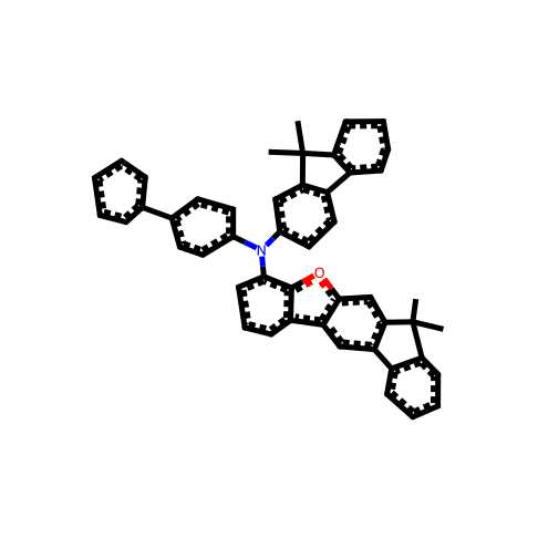 CC1(C)c2ccccc2-c2ccc(N(c3ccc(-c4ccccc4)cc3)c3cccc4c3oc3cc5c(cc34)-c3ccccc3C5(C)C)cc21